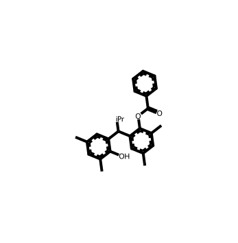 Cc1cc(C)c(O)c(C(c2cc(C)cc(C)c2OC(=O)c2ccccc2)C(C)C)c1